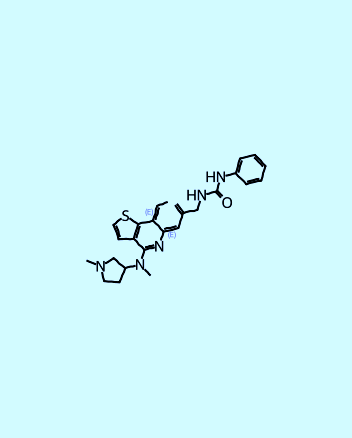 C=C(/C=c1/nc(N(C)C2CCN(C)C2)c2ccsc2/c1=C/C)CNC(=O)Nc1ccccc1